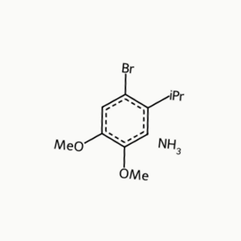 COc1cc(Br)c(C(C)C)cc1OC.N